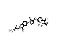 CC1(C(=O)c2ccc(O[C@@H]3CCN(c4ccc5c(c4)C(=O)N(CC(N)=O)C5)C3=O)cn2)CC1